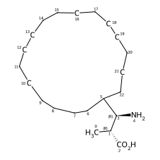 C[C@@H](C(=O)O)[C@H](N)C1CCCCCCCCCCCCCCCCC1